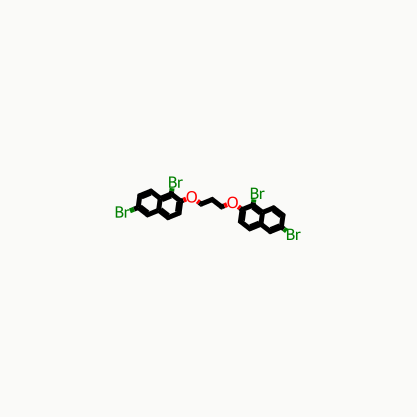 Brc1ccc2c(Br)c(OCCCOc3ccc4cc(Br)ccc4c3Br)ccc2c1